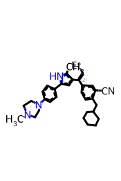 CC/C=C(/c1ccc(CC2CCCCC2)c(C#N)c1)c1cc(-c2ccc(N3CCN(C)CC3)cc2)[nH]c1C